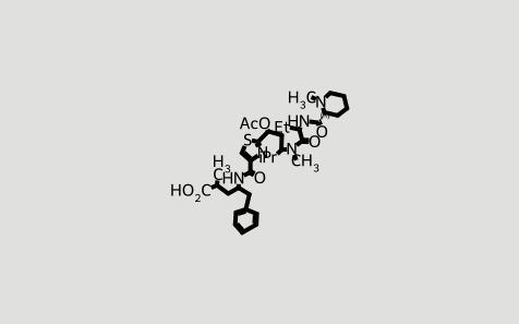 CCC(NC(=O)[C@H]1CCCCN1C)C(=O)N(C)C(CC(OC(C)=O)c1nc(C(=O)NC(Cc2ccccc2)CC(C)C(=O)O)cs1)C(C)C